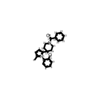 Cc1ccc2n1-c1ccccc1OC21CCN(C(=O)c2ccccc2)CC1